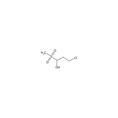 CS(=O)(=O)C(O)CCCl